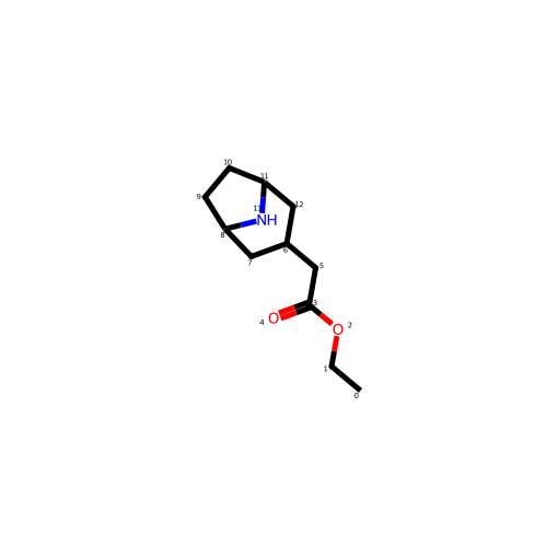 CCOC(=O)CC1CC2CCC(C1)N2